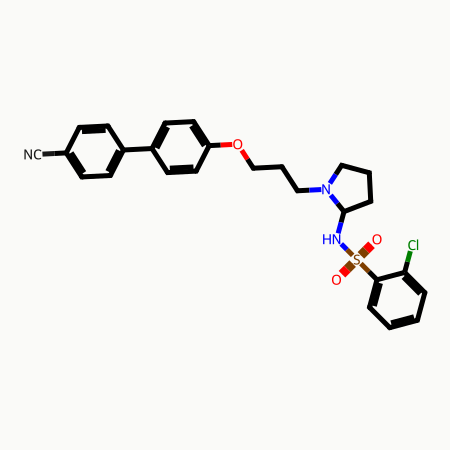 N#Cc1ccc(-c2ccc(OCCCN3CCCC3NS(=O)(=O)c3ccccc3Cl)cc2)cc1